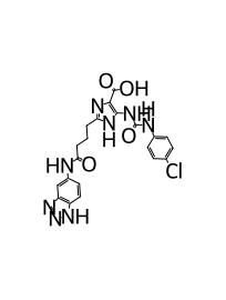 O=C(CCCc1nc(C(=O)O)c(NC(=O)Nc2ccc(Cl)cc2)[nH]1)Nc1ccc2[nH]nnc2c1